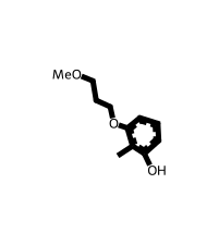 COCCCOc1cccc(O)c1C